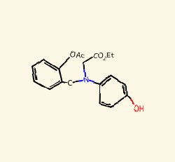 CCOC(=O)CN(Cc1ccccc1OC(C)=O)c1ccc(O)cc1